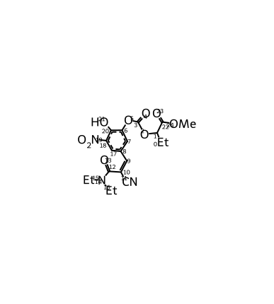 CCC(OC(=O)Oc1cc(C=C(C#N)C(=O)N(CC)CC)cc([N+](=O)[O-])c1O)C(=O)OC